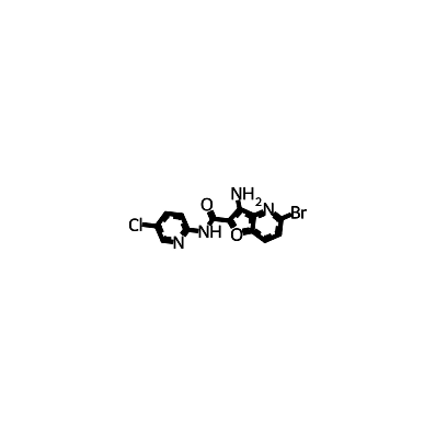 Nc1c(C(=O)Nc2ccc(Cl)cn2)oc2ccc(Br)nc12